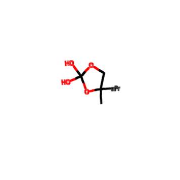 CCCC1(C)COC(O)(O)O1